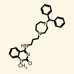 Cn1c(=O)nc(NCCCN2CCCN(C(c3ccccc3)c3ccccc3)CC2)c2ccccc21